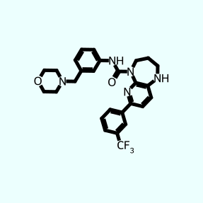 O=C(Nc1cccc(CN2CCOCC2)c1)N1CCCNc2ccc(-c3cccc(C(F)(F)F)c3)nc21